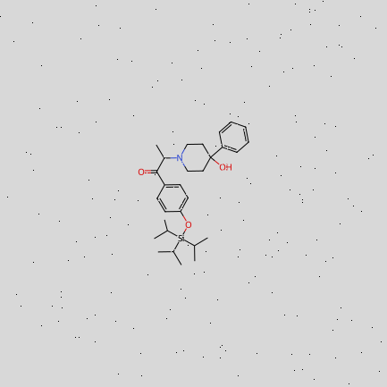 CC(C(=O)c1ccc(O[Si](C(C)C)(C(C)C)C(C)C)cc1)N1CCC(O)(c2ccccc2)CC1